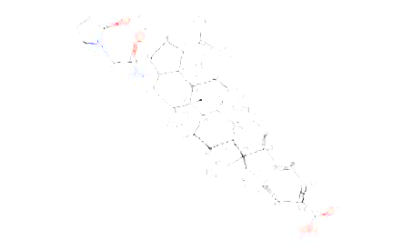 C=C(C)[C@@H]1CC[C@]2(NC(=O)CN3CCCC3=O)CC[C@]3(C)[C@H](CCC4[C@@]5(C)CC=C(c6ccc(C(=O)O)cc6)C(C)(C)C5CC[C@]43C)C12